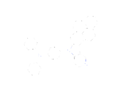 c1ccc(N(c2ccccc2)c2ccc(-n3c4ccncc4c4c5ccc6cccc7ccc(cc43)c5c76)cc2)cc1